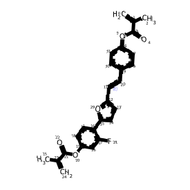 C=C(C)C(=O)Oc1ccc(/C=C/c2ccc(-c3ccc(OC(=O)C(=C)C)cc3F)o2)cc1